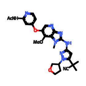 COc1c(Oc2ccnc(NC(C)=O)c2)cnc2nc(Nc3cc(C(C)(C)C#N)n(C4CCOC4)n3)n(C)c12